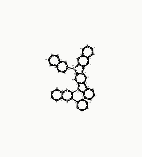 c1ccc(-c2nc3ccccc3nc2-n2c3ccccc3c3cc4c5cc6ccccc6cc5n(-c5ccc6ccccc6c5)c4cc32)cc1